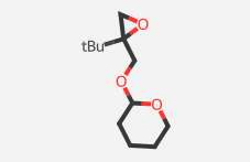 CC(C)(C)C1(COC2CCCCO2)CO1